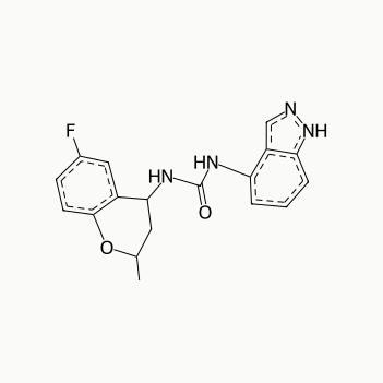 CC1CC(NC(=O)Nc2cccc3[nH]ncc23)c2cc(F)ccc2O1